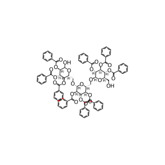 O=C(O[C@@H]1[C@@H](OC(=O)c2ccccc2)[C@H](OC[C@H]2O[C@@H](OC[C@H]3OC(O)[C@H](OC(=O)c4ccccc4)[C@@H](OC(=O)c4ccccc4)[C@@H]3OC(=O)c3ccccc3)[C@H](OC(=O)c3ccccc3)[C@@H](OC(=O)c3ccccc3)[C@@H]2OC(=O)c2ccccc2)O[C@H](CO)[C@H]1OC(=O)c1ccccc1)c1ccccc1